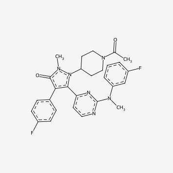 CC(=O)N1CCC(n2c(-c3ccnc(N(C)c4cccc(F)c4)n3)c(-c3ccc(F)cc3)c(=O)n2C)CC1